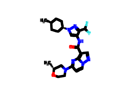 C[C@@H]1CN(c2ccn3ncc(C(=O)Nc4cn([C@H]5CC[C@H](C)CC5)nc4C(F)F)c3n2)CCO1